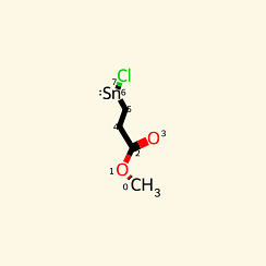 COC(=O)C[CH2][Sn][Cl]